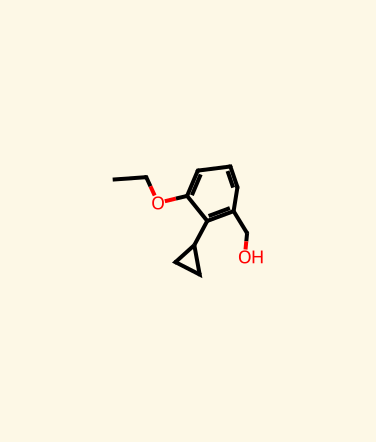 CCOc1cccc(CO)c1C1CC1